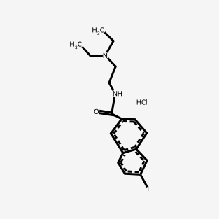 CCN(CC)CCNC(=O)c1ccc2cc(I)ccc2c1.Cl